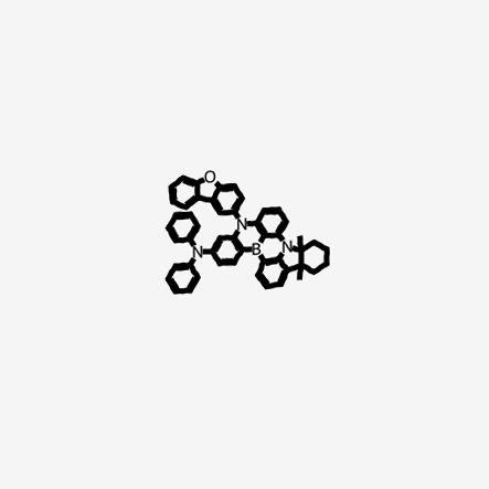 CC12CCCCC1(C)N1c3cccc4c3B(c3ccc(N(c5ccccc5)c5ccccc5)cc3N4c3ccc4oc5ccccc5c4c3)c3cccc2c31